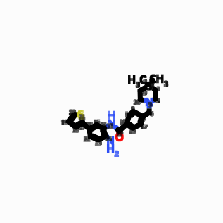 C[Si]1(C)CCN(Cc2ccc(C(=O)Nc3cc(-c4cccs4)ccc3N)cc2)CC1